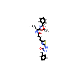 O=C(O)C[C@H](NC(=O)CCCc1csc(NC(=O)NCc2ccccc2)n1)C(=NCc1ccccc1)OC(=O)C(F)(F)F